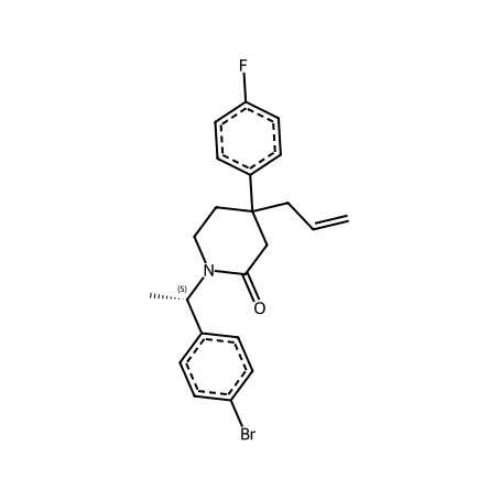 C=CCC1(c2ccc(F)cc2)CCN([C@@H](C)c2ccc(Br)cc2)C(=O)C1